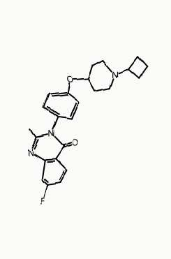 Cc1nc2cc(F)ccc2c(=O)n1-c1ccc(OC2CCN(C3CCC3)CC2)cc1